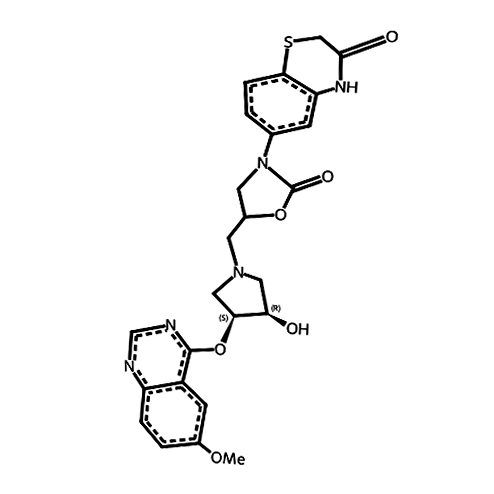 COc1ccc2ncnc(O[C@H]3CN(CC4CN(c5ccc6c(c5)NC(=O)CS6)C(=O)O4)C[C@H]3O)c2c1